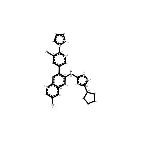 Nc1cnc2cc(-c3cnc(-n4cccn4)c(Cl)c3)c(Nc3nnc(C4CCCC4)s3)nc2c1